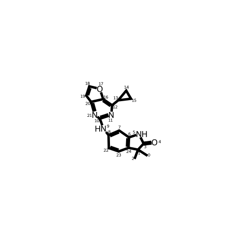 CC1(C)C(=O)Nc2cc(Nc3nc(C4CC4)c4occc4n3)ccc21